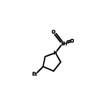 CCC1CCN([SH](=O)=O)C1